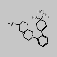 CC(C)CN1CCN(c2ccccc2C2=CCC(C)(C)CC2)CC1.Cl